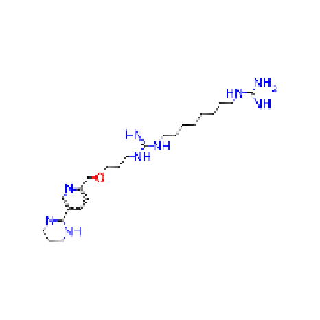 N=C(N)NCCCCCCCCNC(=N)NCCCOCc1ccc(C2=NCCCN2)cn1